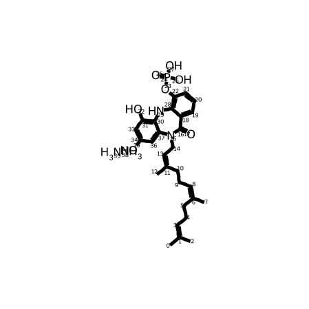 CC(C)=CCCC(C)=CCCC(C)=CCN1C(=O)c2cccc(OP(=O)(O)O)c2Nc2c(O)cc(O)cc21.N.N